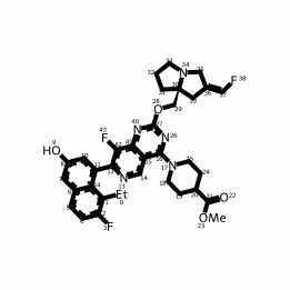 CCc1c(F)ccc2cc(O)cc(-c3ncc4c(N5CCC(C(=O)OC)CC5)nc(OC[C@@]56CCCN5C/C(=C\F)C6)nc4c3F)c12